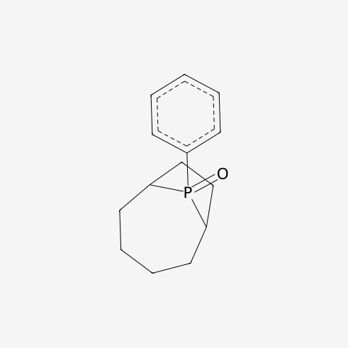 O=P1(c2ccccc2)C2CCCCC1CC2